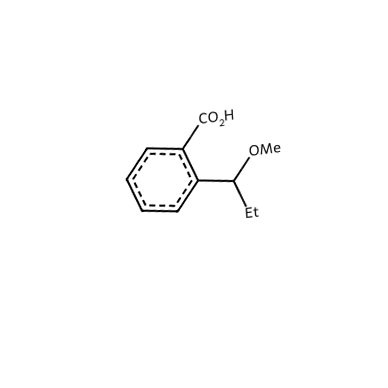 CCC(OC)c1ccccc1C(=O)O